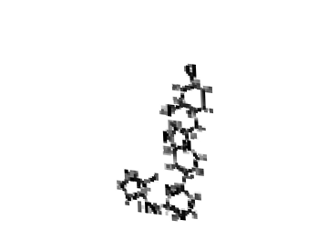 Cn1nccc1Nc1nccc(-c2ccn3c(Cc4ccc(Cl)cc4F)nnc3c2)n1